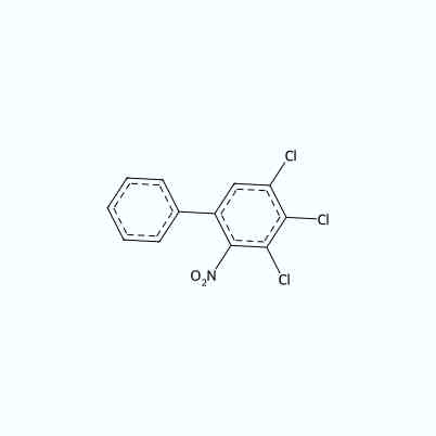 O=[N+]([O-])c1c(-c2ccccc2)cc(Cl)c(Cl)c1Cl